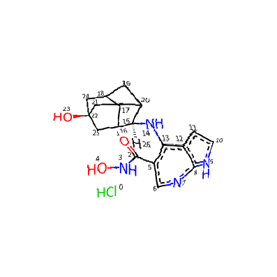 Cl.O=C(NO)c1cnc2[nH]ccc2c1N[C@H]1C2CC3CC1C[C@@](O)(C3)C2